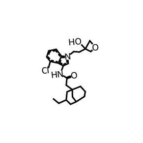 CCC1CC2CCCC(CC(=O)Nc3cn(CCC4(O)COC4)c4cccc(Cl)c34)(C1)C2